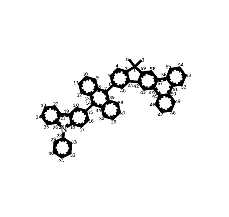 CC1(C)c2ccc(-c3c4ccccc4c(-c4ccc5c(c4)c4ccccc4n5-c4ccccc4)c4ccccc34)cc2-c2cc3c4ccccc4c4ccccc4c3cc21